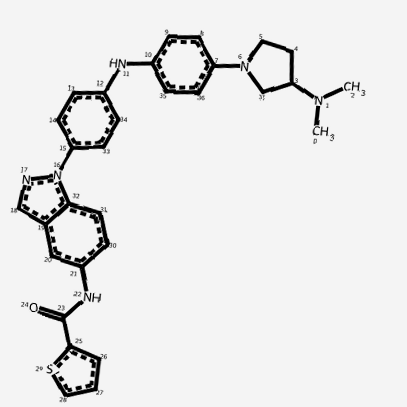 CN(C)C1CCN(c2ccc(Nc3ccc(-n4ncc5cc(NC(=O)c6cccs6)ccc54)cc3)cc2)C1